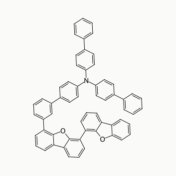 c1ccc(-c2ccc(N(c3ccc(-c4ccccc4)cc3)c3ccc(-c4cccc(-c5cccc6c5oc5c(-c7cccc8c7oc7ccccc78)cccc56)c4)cc3)cc2)cc1